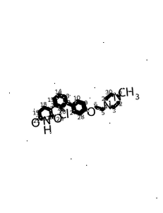 CN1CCN(CCOc2ccc(-c3cccc([C@@H]4CCC(=O)NC4=O)c3Cl)cc2)CC1